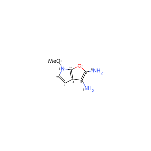 COn1ccc2c(N)c(N)oc21